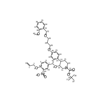 C=CCOc1ccc(COC2CN(C(=O)OC(C)(C)C)CCC2c2ccc(OCCCOCc3ccccc3OC)cc2)cc1[N+](=O)[O-]